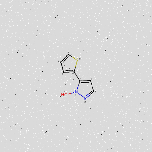 On1nccc1-c1cccs1